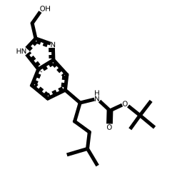 CC(C)CCC(NC(=O)OC(C)(C)C)c1ccc2[nH]c(CO)nc2c1